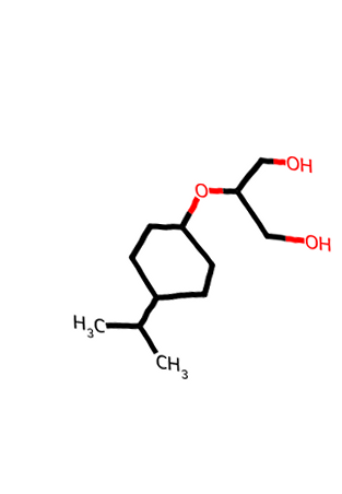 CC(C)C1CCC(OC(CO)CO)CC1